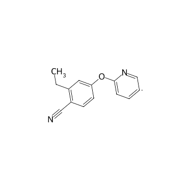 CCc1cc(Oc2cc[c]cn2)ccc1C#N